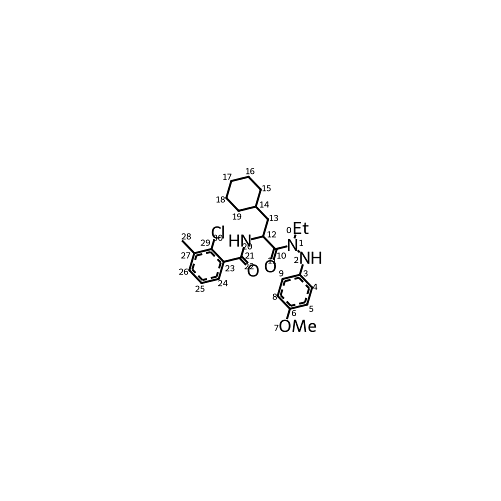 CCN(Nc1ccc(OC)cc1)C(=O)C(CC1CCCCC1)NC(=O)c1cccc(C)c1Cl